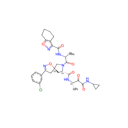 CCC[C@H](NC(=O)[C@@H]1C[C@]2(CC(c3cccc(Cl)c3)=NO2)CN1C(=O)C(NC(=O)c1noc2c1CCCC2)C(C)(C)C)C(=O)C(=O)NC1CC1